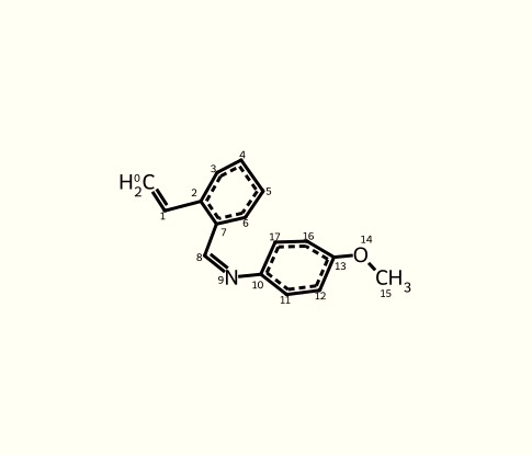 C=Cc1ccccc1/C=N\c1ccc(OC)cc1